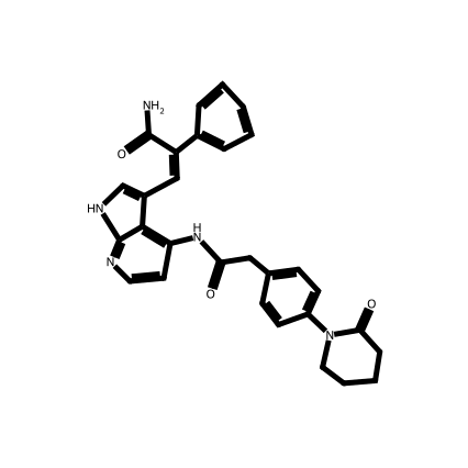 NC(=O)C(=Cc1c[nH]c2nccc(NC(=O)Cc3ccc(N4CCCCC4=O)cc3)c12)c1ccccc1